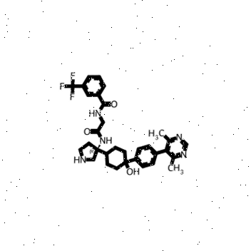 Cc1ncnc(C)c1-c1ccc(C2(O)CCC([C@]3(NC(=O)CNC(=O)c4cccc(C(F)(F)F)c4)CCNC3)CC2)cc1